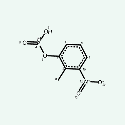 Cc1c(O[PH](=O)O)cccc1[N+](=O)[O-]